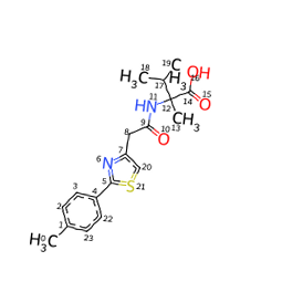 Cc1ccc(-c2nc(CC(=O)NC(C)(C(=O)O)C(C)C)cs2)cc1